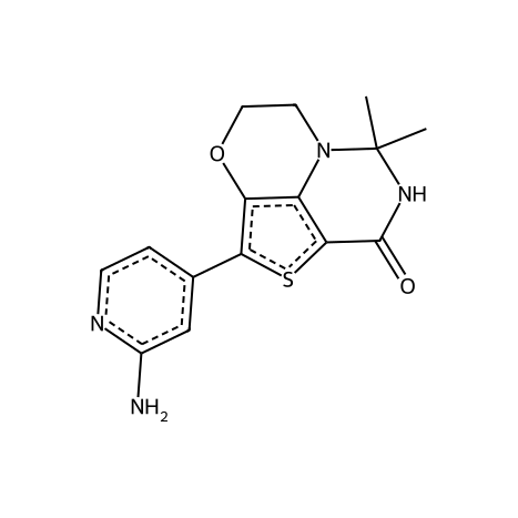 CC1(C)NC(=O)c2sc(-c3ccnc(N)c3)c3c2N1CCO3